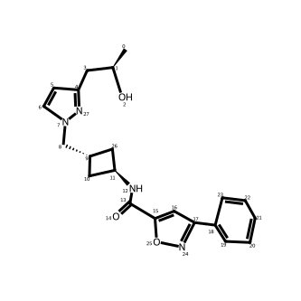 C[C@@H](O)Cc1ccn(C[C@H]2C[C@H](NC(=O)c3cc(-c4ccccc4)no3)C2)n1